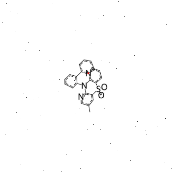 Cc1cnc2c(c1)S(=O)(=O)c1cccnc1N2c1ccccc1-c1ccccc1